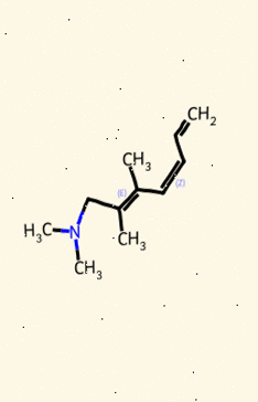 C=C/C=C\C(C)=C(/C)CN(C)C